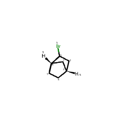 BrC1C[C@@H]2CC[C@H]1C2